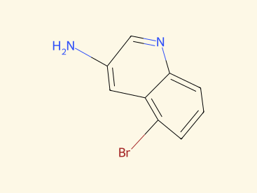 Nc1cnc2cccc(Br)c2c1